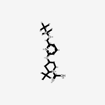 CC(C)(C)C1CC(Oc2cccc(CO[Si](C)(C)C(C)(C)C)n2)CCN1C(=O)O